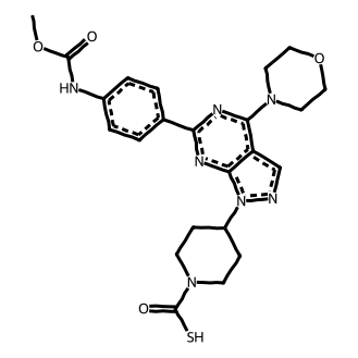 COC(=O)Nc1ccc(-c2nc(N3CCOCC3)c3cnn(C4CCN(C(=O)S)CC4)c3n2)cc1